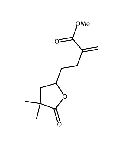 C=C(CCC1CC(C)(C)C(=O)O1)C(=O)OC